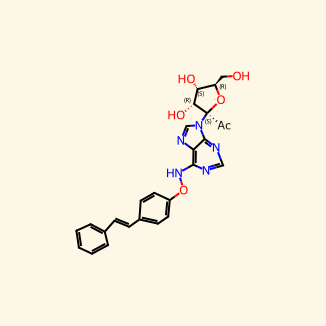 CC(=O)[C@@]1(n2cnc3c(NOc4ccc(C=Cc5ccccc5)cc4)ncnc32)O[C@H](CO)[C@@H](O)[C@H]1O